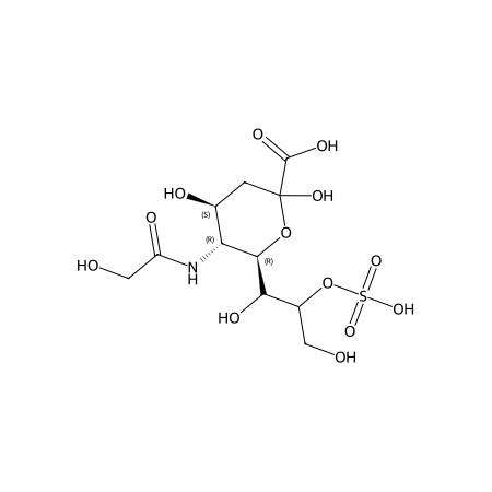 O=C(CO)N[C@@H]1[C@@H](O)CC(O)(C(=O)O)O[C@H]1C(O)C(CO)OS(=O)(=O)O